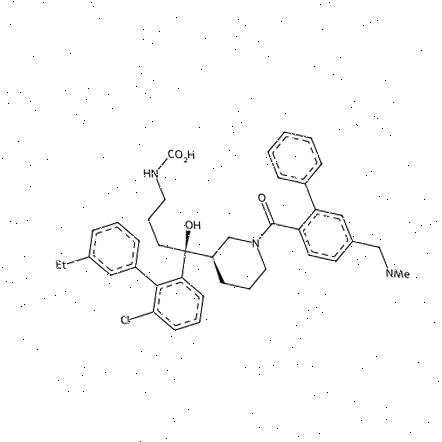 CCc1cccc(-c2c(Cl)cccc2[C@](O)(CCCNC(=O)O)[C@@H]2CCCN(C(=O)c3ccc(CNC)cc3-c3ccccc3)C2)c1